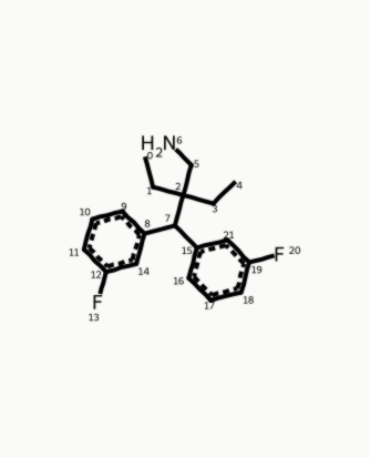 CCC(CC)(CN)C(c1cccc(F)c1)c1cccc(F)c1